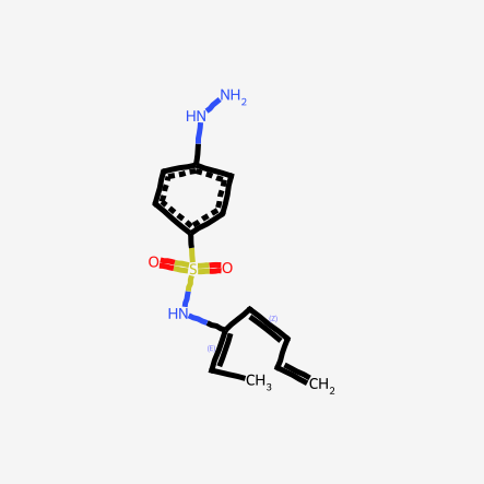 C=C/C=C\C(=C/C)NS(=O)(=O)c1ccc(NN)cc1